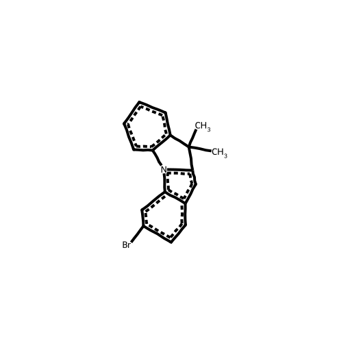 CC1(C)c2ccccc2-n2c1cc1ccc(Br)cc12